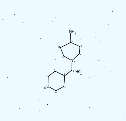 Cl.NC1CCN(CC2CCOCC2)CC1